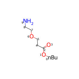 CCCCOC(=O)CCOCCN